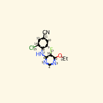 CCOc1ncnc(Nc2ccc(C#N)cc2Cl)c1F